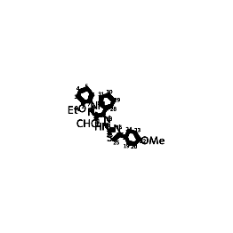 CCOc1ccccc1N/N=C(C=O)\C(=N/Nc1nc(C2C=CC(OC)=CC2)cs1)c1ccccc1